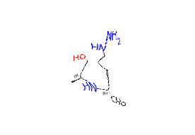 C[C@@H](CO)N[C@@H](C=O)CCCNN